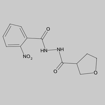 O=C(NNC(=O)C1CCOC1)c1ccccc1[N+](=O)[O-]